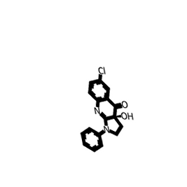 O=C1c2cc(Cl)ccc2N=C2N(c3ccccc3)CC[C@@]12O